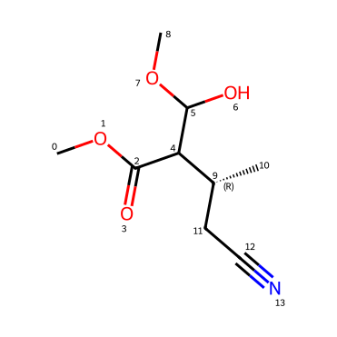 COC(=O)C(C(O)OC)[C@H](C)CC#N